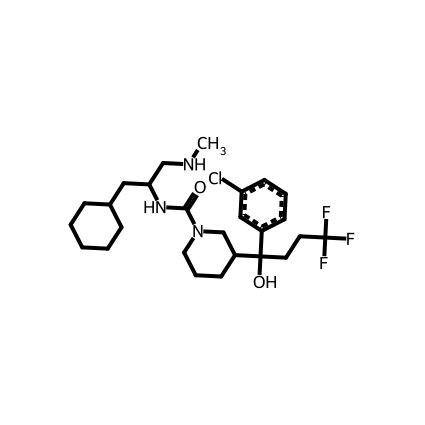 CNCC(CC1CCCCC1)NC(=O)N1CCCC(C(O)(CCC(F)(F)F)c2cccc(Cl)c2)C1